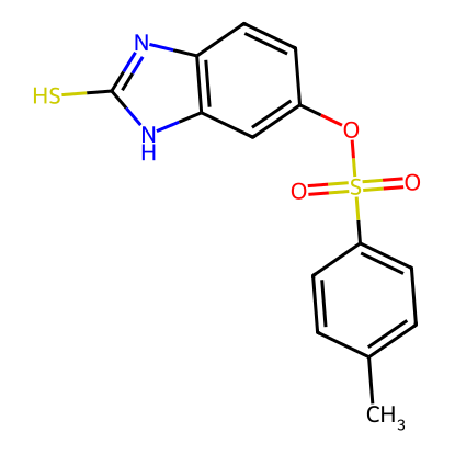 Cc1ccc(S(=O)(=O)Oc2ccc3nc(S)[nH]c3c2)cc1